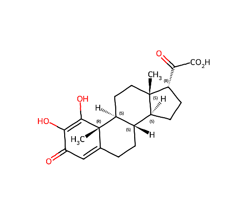 C[C@@]12C(=CC(=O)C(O)=C1O)CC[C@@H]1[C@@H]2CC[C@]2(C)[C@H](C(=O)C(=O)O)CC[C@@H]12